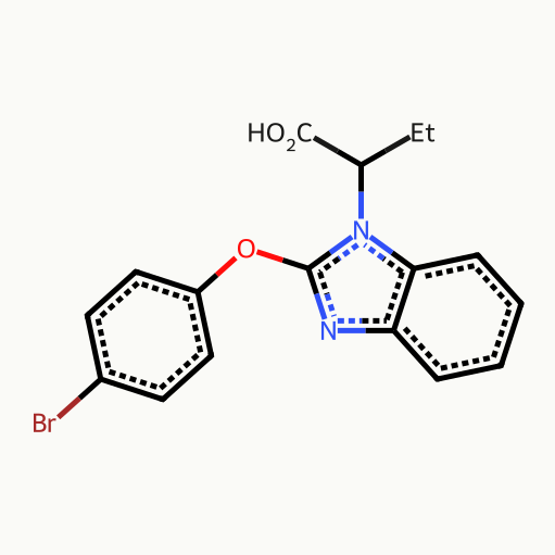 CCC(C(=O)O)n1c(Oc2ccc(Br)cc2)nc2ccccc21